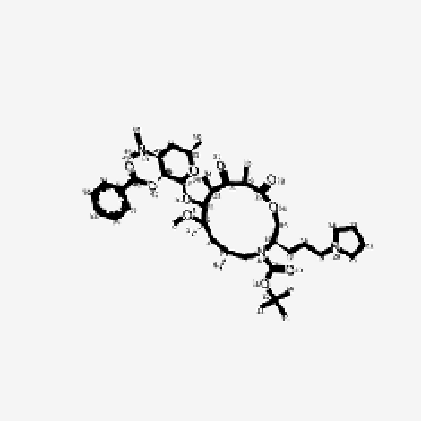 CO[C@]1(C)C[C@@H](C)CN(C(=O)OC(C)(C)C)[C@H](CCCN2CCCC2)COC(=O)C(C)C(=O)C(C)C1O[C@@H]1O[C@H](C)C[C@H](N(C)C)[C@H]1OC(=O)c1ccccc1